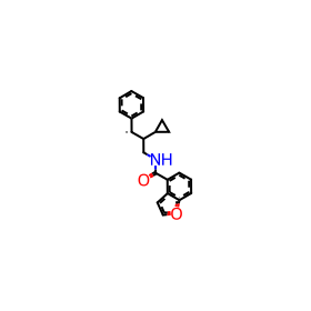 O=C(NCC([CH]c1ccccc1)C1CC1)c1cccc2occc12